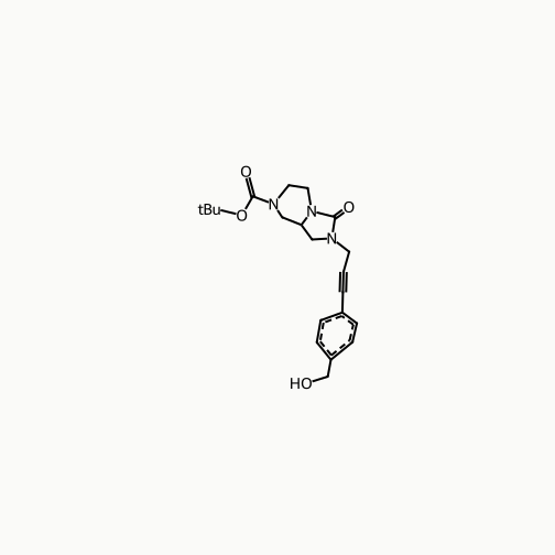 CC(C)(C)OC(=O)N1CCN2C(=O)N(CC#Cc3ccc(CO)cc3)CC2C1